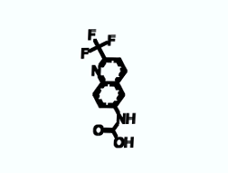 O=C(O)Nc1ccc2nc(C(F)(F)F)ccc2c1